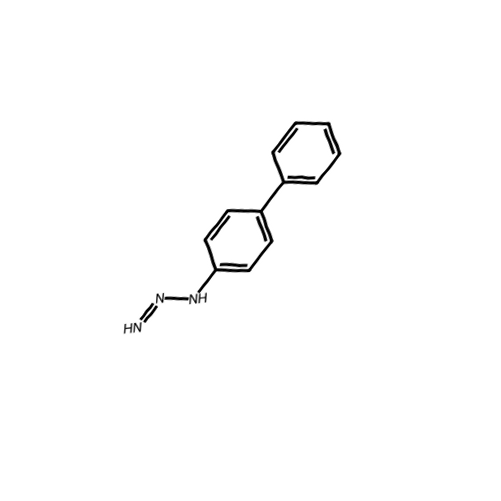 N=NNc1ccc(-c2ccccc2)cc1